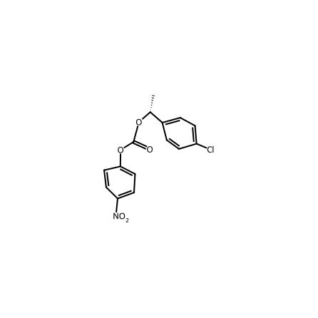 C[C@@H](OC(=O)Oc1ccc([N+](=O)[O-])cc1)c1ccc(Cl)cc1